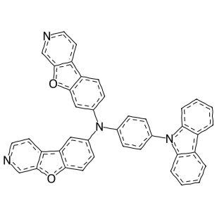 c1ccc2c(c1)c1ccccc1n2-c1ccc(N(c2ccc3c(c2)oc2cnccc23)c2ccc3oc4cnccc4c3c2)cc1